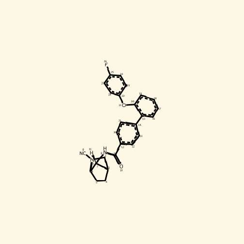 N#CN1CC2CCC1[C@@H]2NC(=O)c1ccc(-c2ccccc2Oc2ccc(F)cc2)cc1